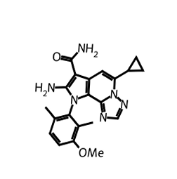 COc1ccc(C)c(-n2c(N)c(C(N)=O)c3cc(C4CC4)n4ncnc4c32)c1C